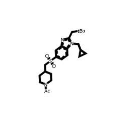 CC(=O)N1CCC(CS(=O)(=O)c2ccc3c(c2)nc(CC(C)(C)C)n3CC2CC2)CC1